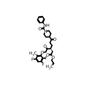 C=CCOC(=O)C[C@H](CCC(=O)C1CCN(C(=O)Nc2ccccc2)CC1)C(=O)COc1c(C)c(F)cc(F)c1F